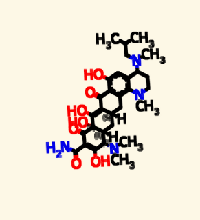 CC(C)CN(C)C1CCN(C)c2c1cc(O)c1c2C[C@@H]2C[C@@H]3[C@H](N(C)C)C(O)=C(C(N)=O)C(=O)[C@@]3(O)C(O)=C2C1=O